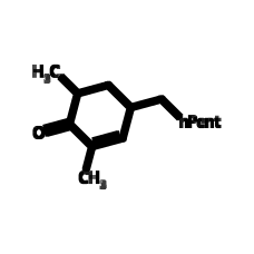 CCCCCCC1C=C(C)C(=O)C(C)C1